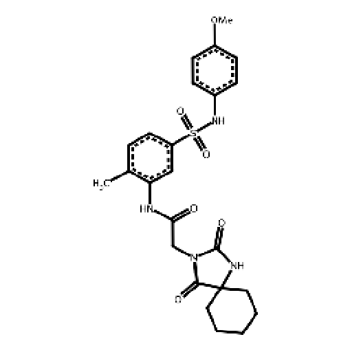 COc1ccc(NS(=O)(=O)c2ccc(C)c(NC(=O)CN3C(=O)NC4(CCCCC4)C3=O)c2)cc1